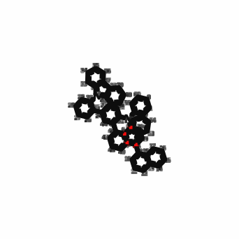 c1ccc(N(c2ccc(-c3cccc4ccccc34)cc2)c2ccc(-c3ccccc3-n3c4ccccc4c4ccccc43)cc2-c2cccc3sc4ccccc4c23)cc1